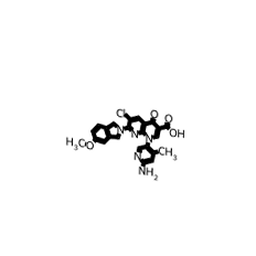 COc1ccc2c(c1)CN(c1nc3c(cc1Cl)c(=O)c(C(=O)O)cn3-c1cnc(N)cc1C)C2